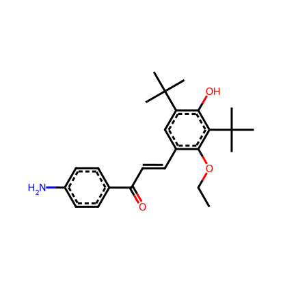 CCOc1c(C=CC(=O)c2ccc(N)cc2)cc(C(C)(C)C)c(O)c1C(C)(C)C